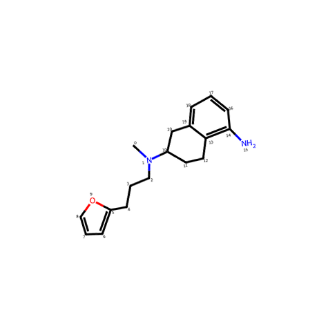 CN(CCCc1ccco1)C1CCc2c(N)cccc2C1